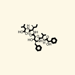 CC[C@H](C)[C@H](NC(=O)C[C@H](O)[C@H](Cc1ccccc1)NC(=O)[C@@H](NC(=O)[C@@H](O)c1ccccc1)C(C)C)C(=O)N[C@H](C(=O)O)C(C)C